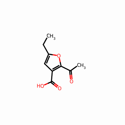 CCc1cc(C(=O)O)c(C(C)=O)o1